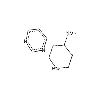 CNC1CCNCC1.c1cncnc1